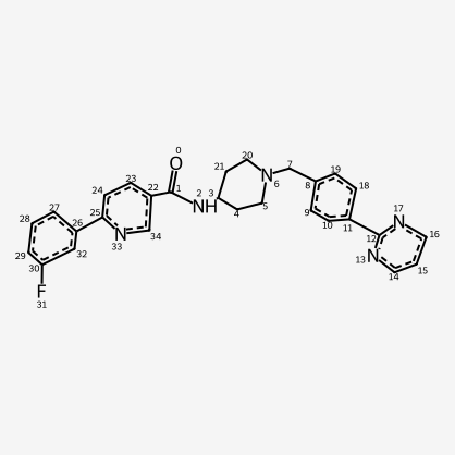 O=C(NC1CCN(Cc2ccc(-c3ncccn3)cc2)CC1)c1ccc(-c2cccc(F)c2)nc1